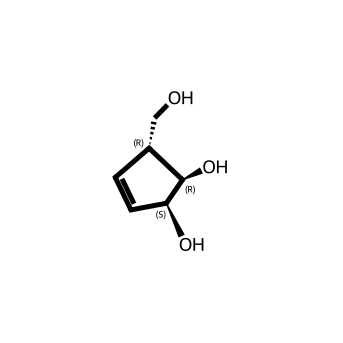 OC[C@H]1C=C[C@H](O)[C@@H]1O